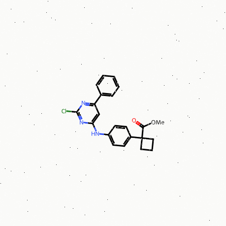 COC(=O)C1(c2ccc(Nc3cc(-c4ccccc4)nc(Cl)n3)cc2)CCC1